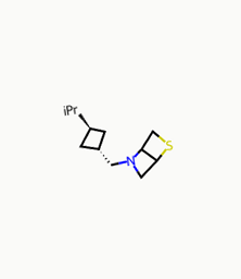 CC(C)[C@H]1C[C@H](CN2CC3SCC32)C1